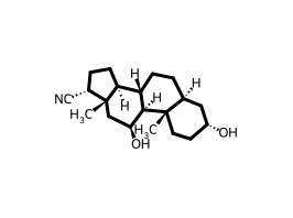 C[C@]12CC[C@@H](O)C[C@@H]1CC[C@@H]1[C@@H]2[C@@H](O)C[C@]2(C)[C@H](C#N)CC[C@@H]12